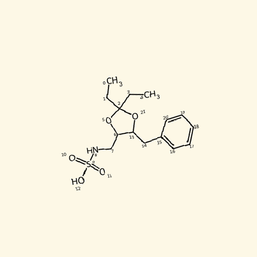 CCC1(CC)OC(CNS(=O)(=O)O)C(Cc2ccccc2)O1